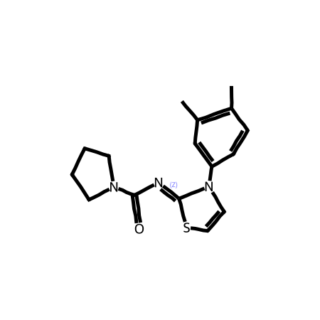 Cc1ccc(-n2ccs/c2=N\C(=O)N2CCCC2)cc1C